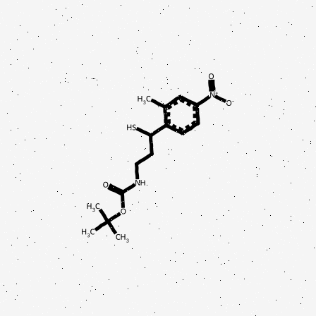 Cc1cc([N+](=O)[O-])ccc1C(S)CCNC(=O)OC(C)(C)C